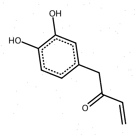 C=CC(=O)Cc1ccc(O)c(O)c1